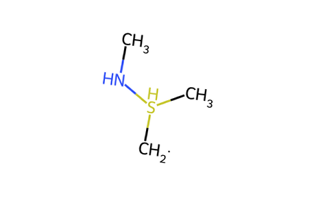 [CH2][SH](C)NC